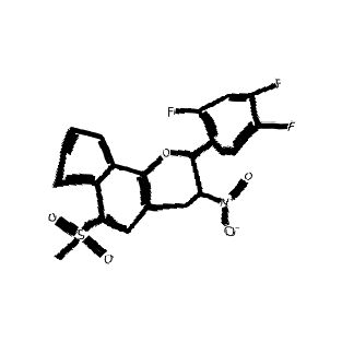 CS(=O)(=O)c1cc2c(c3ccccc13)OC(c1cc(F)c(F)cc1F)C([N+](=O)[O-])C2